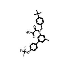 Cc1cc(-c2ccc(OC(F)(F)F)cc2)cc(N(Cc2ccc(C(C)(C)C)cc2)C(=O)C(=O)O)c1